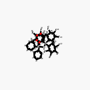 Fc1c(F)c(F)c([B-](O[Si](c2ccccc2)(c2ccccc2)c2ccccc2)(c2c(F)c(F)c(F)c(F)c2F)c2c(F)c(F)c(F)c(F)c2F)c(F)c1F